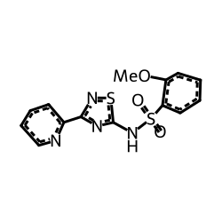 COc1ccccc1S(=O)(=O)Nc1nc(-c2ccccn2)ns1